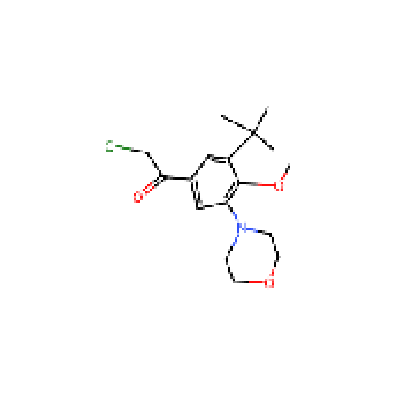 COc1c(N2CCOCC2)cc(C(=O)CCl)cc1C(C)(C)C